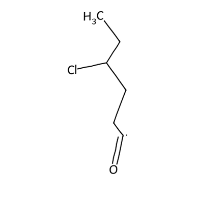 CCC(Cl)CC[C]=O